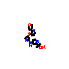 CC(C)(O)c1cc(Nc2cc(Oc3cccnc3C3CCOCC3)ccn2)ccn1